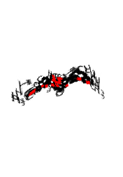 CCCCC(CC)Cc1c(-c2ccccc2)c(-c2ccc3c(c2)[Si](CC(CC)CCCC)(CC(CC)CCCC)c2cc(-c4c(-c5ccccc5)c(CC(CC)CCCC)c5cc(-c6ccc(N(C)C)cc6)ccn45)ccc2C3=O)n2ccc(-c3ccc(N(C)C)cc3)cc12